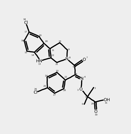 CC(C)(O/N=C(/C(=O)N1CCc2c([nH]c3ccc(Cl)cc23)C1)c1ccc(Cl)cc1)C(=O)O